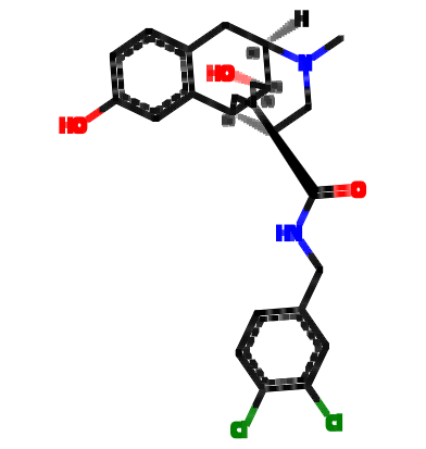 CN1CC[C@]23C[C@H](C(=O)NCc4ccc(Cl)c(Cl)c4)C[C@@]2(O)[C@H]1Cc1ccc(O)cc13